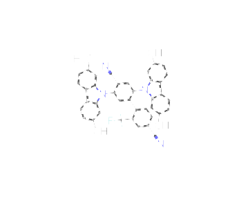 Cc1ccc2c3ccc(C)cc3n(-c3cc(-c4ccc(C#N)cc4C(F)(F)F)c(-n4c5cc(C)ccc5c5ccc(C)cc54)cc3C#N)c2c1